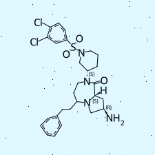 N[C@@H]1C[C@H]2C(=O)N([C@H]3CCCN(S(=O)(=O)c4ccc(Cl)c(Cl)c4)C3)CCC(CCc3ccccc3)N2C1